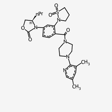 CCC[C@@H]1COC(=O)N1c1ccc(C(=O)N2CCN(c3ncc(C)cc3C)CC2)c(N2CCCS2(=O)=O)c1